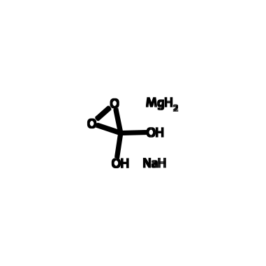 OC1(O)OO1.[MgH2].[NaH]